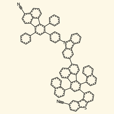 N#Cc1ccc2sc3cccc(-c4cc(-c5cccc6ccccc56)c5c(c4-c4cccc6ccccc46)-c4ccc(-c6ccc7c(c6)c6ccccc6n7-c6ccc(-c7cc(-c8ccccc8)c8c(c7-c7ccccc7)-c7cccc9c(C#N)ccc-8c79)cc6)c6cccc-5c46)c3c2c1